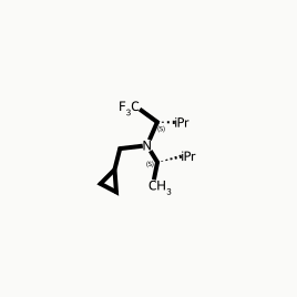 CC(C)[C@H](N(CC1CC1)[C@@H](C)C(C)C)C(F)(F)F